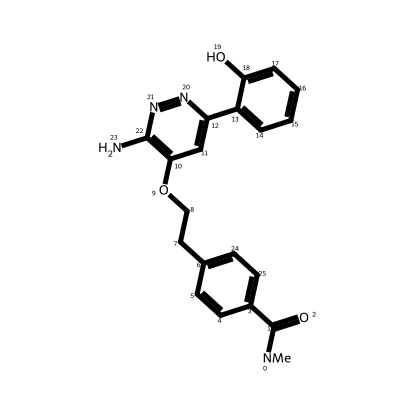 CNC(=O)c1ccc(CCOc2cc(-c3ccccc3O)nnc2N)cc1